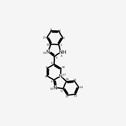 c1ccc2[nH]c(-c3ccc4nc5ccccc5n4c3)nc2c1